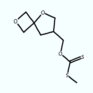 CSC(=S)OCC1COC2(COC2)C1